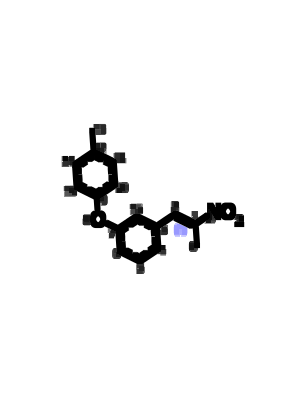 C/C(=C\c1cccc(Oc2ccc(C)cc2)c1)[N+](=O)[O-]